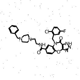 O=C(NCCN1CCN(Cc2ccccc2)CC1)c1ccc2c(c1)N(Cc1cc(F)ccc1Cl)C(=O)c1[nH]nnc1O2